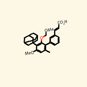 COCOc1c(-c2cccc(C=CC(=O)O)c2)c(C)cc(OC)c1C12CC3CC(CC(C3)C1)C2